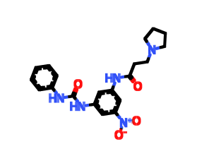 O=C(CCN1CCCC1)Nc1cc(NC(=O)Nc2ccccc2)cc([N+](=O)[O-])c1